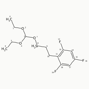 CCOC(OCC)O[SiH2]CCc1c(F)cc(F)cc1F